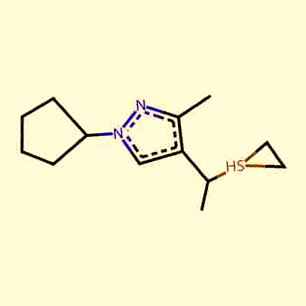 Cc1nn(C2CCCC2)cc1C(C)[SH]1CC1